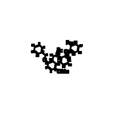 COc1ccc(OCc2ccccc2)c(CN(C(C)=O)c2cccnc2Oc2ccccc2F)c1